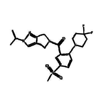 CC(C)n1cc2c(n1)CN(C(=O)c1cc(S(C)(=O)=O)ccc1N1CCC(F)(F)CC1)C2